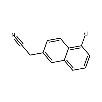 N#CCc1ccc2c(Cl)cccc2c1